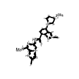 CNc1nc(NC(=O)c2ccc(N3CC[C@H](NC)C3)c3cn(C)nc23)cn2cc(C)nc12